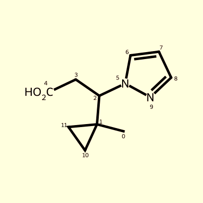 CC1(C(CC(=O)O)n2cccn2)CC1